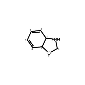 [C]1=CC=CC2NCOC12